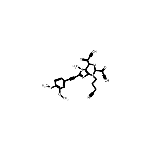 C#CC(=O)C1NC(C(=O)C#C)N(CCCC#N)c2nc(C#Cc3ccc(OC)c(OC)c3)n(C)c21